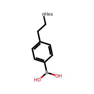 CCCCCCCCc1ccc(B(O)O)cc1